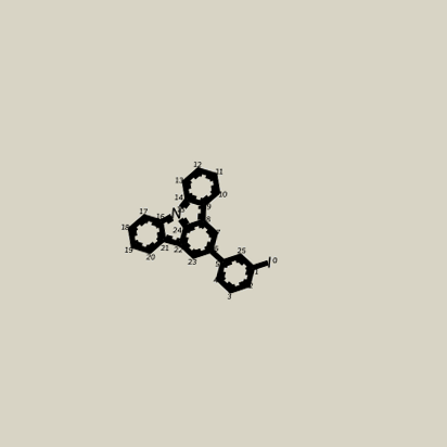 Ic1cccc(-c2cc3c4ccccc4n4c5ccccc5c(c2)c34)c1